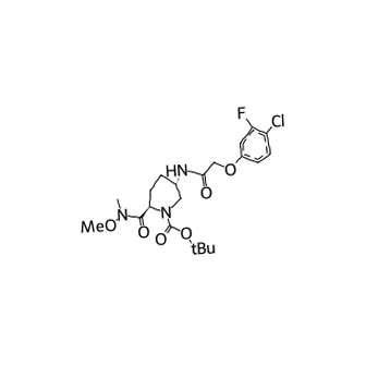 CON(C)C(=O)[C@H]1CC[C@H](NC(=O)COc2ccc(Cl)c(F)c2)CN1C(=O)OC(C)(C)C